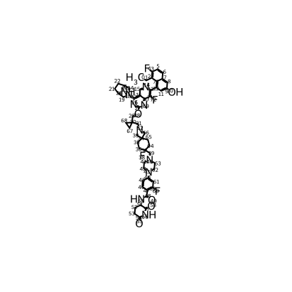 CCc1c(F)ccc2cc(O)cc(-c3ncc4c(N5CC6CCC(C5)N6)nc(OCC5(CN6CC7(CCC(F)(CN8CCN(c9ccc(C(=O)N[C@H]%10CCC(=O)NC%10=O)c(F)c9)CC8)CC7)C6)CC5)nc4c3F)c12